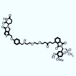 CCOc1cc([C@@H](CS(C)(=O)=O)N2C(=O)c3cccc(CCC(=O)CCOCCOCCNCc4ccc(OCc5scc6c5CN(C5CCC(=O)NC5=O)C6=O)cc4)c3C2=O)ccc1OC